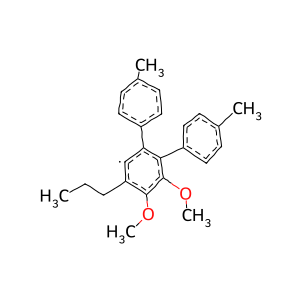 CCCc1[c]c(-c2ccc(C)cc2)c(-c2ccc(C)cc2)c(OC)c1OC